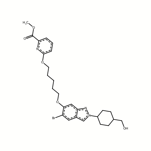 COC(=O)c1cccc(OCCCCCOc2cc3nn(C4CCC(CO)CC4)cc3cc2Br)n1